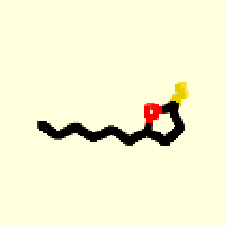 CCCCCCC1CCC(=S)O1